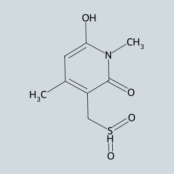 Cc1cc(O)n(C)c(=O)c1C[SH](=O)=O